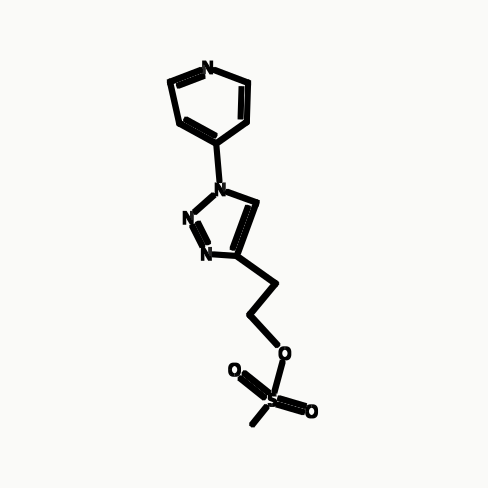 CS(=O)(=O)OCCc1cn(-c2ccncc2)nn1